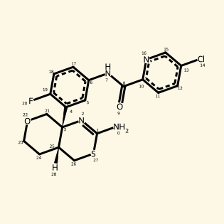 NC1=N[C@@]2(c3cc(NC(=O)c4ccc(Cl)cn4)ccc3F)COCC[C@H]2CS1